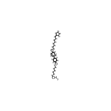 CCCCCCCCOc1ccc(-c2ncc(OCCCCCCCCC3CCCC3)cn2)cc1